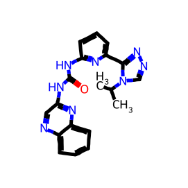 CC(C)n1cnnc1-c1cccc(NC(=O)Nc2cnc3ccccc3n2)n1